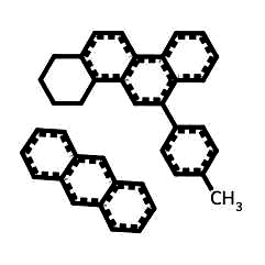 Cc1ccc(-c2cc3c4c(ccc3c3ccccc23)CCCC4)cc1.c1ccc2cc3ccccc3cc2c1